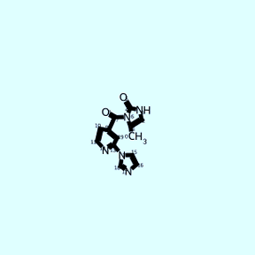 Cc1c[nH]c(=O)n1C(=O)c1ccnc(-n2ccnc2)c1